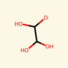 [O]C(O)[C](O)O